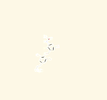 CCC(=O)Nc1cc(Cl)cc(COc2c(Br)cc(CCC(=O)O)cc2Br)c1F